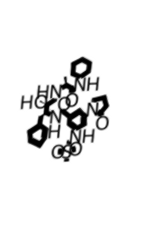 C[C@H](NC[C@@H](O)[C@H](Cc1ccccc1)NC(=O)c1cc(NCS(C)(=O)=O)cc(N2CCCC2=O)c1)C(=O)NC1CCCCC1